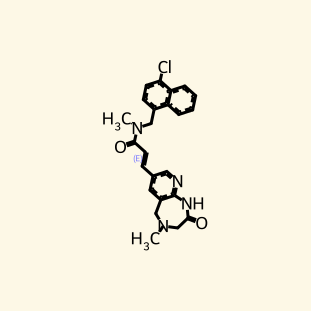 CN1CC(=O)Nc2ncc(/C=C/C(=O)N(C)Cc3ccc(Cl)c4ccccc34)cc2C1